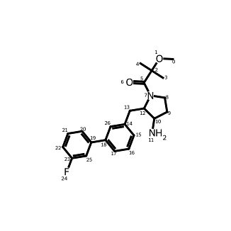 COC(C)(C)C(=O)N1CCC(N)C1Cc1cccc(-c2cccc(F)c2)c1